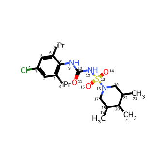 CC(C)c1cc(Cl)cc(C(C)C)c1NC(=O)NS(=O)(=O)N1CC(C)C(C)C(C)C1